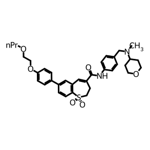 CCCOCCOc1ccc(-c2ccc3c(c2)C=C(C(=O)Nc2ccc(CN(C)C4CCOCC4)cc2)CCS3(=O)=O)cc1